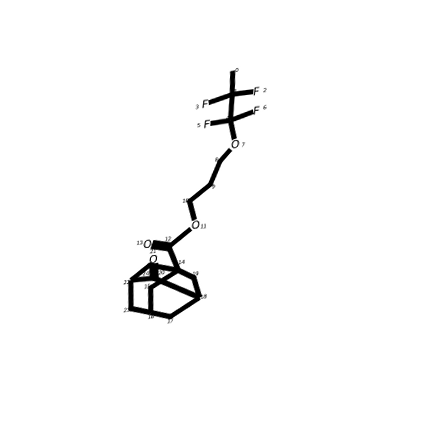 CC(F)(F)C(F)(F)OCCCOC(=O)C12CC3CC(C1)C(=O)C(C3)C2